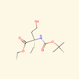 CCOC(=O)[C@@](CC)(CCO)NC(=O)OC(C)(C)C